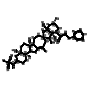 CC1=C2CC3[C@@H](CC[C@@H]4C[C@H](NS(C)(=O)=O)CC[C@]34C)C2CC[C@@]2(C1)O[C@@H]1C[C@H](C)CN(C(=O)OCc3ccccc3)[C@H]1[C@H]2C